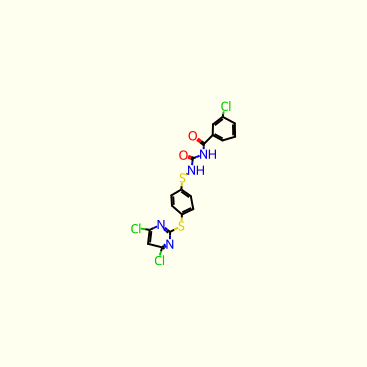 O=C(NSc1ccc(Sc2nc(Cl)cc(Cl)n2)cc1)NC(=O)c1cccc(Cl)c1